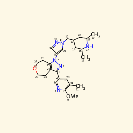 COc1ncc(-c2nn(-c3cnn(CC4CC(C)NC(C)C4)c3)c3c2CCOCC3)cc1C